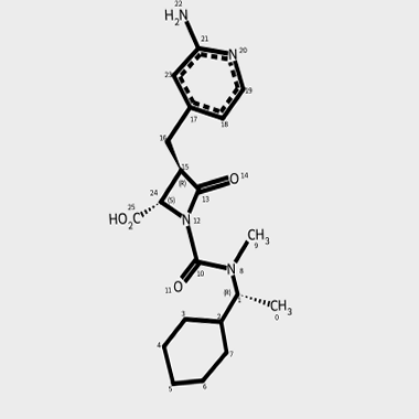 C[C@H](C1CCCCC1)N(C)C(=O)N1C(=O)[C@H](Cc2ccnc(N)c2)[C@H]1C(=O)O